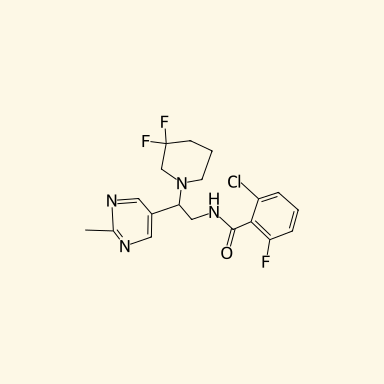 Cc1ncc(C(CNC(=O)c2c(F)cccc2Cl)N2CCCC(F)(F)C2)cn1